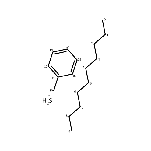 CCCCCCCCCC.Cc1ccccc1.S